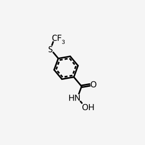 O=C(NO)c1ccc(SC(F)(F)F)cc1